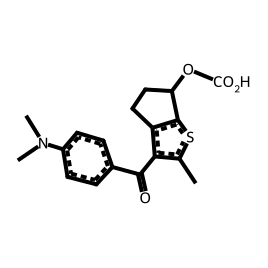 Cc1sc2c(c1C(=O)c1ccc(N(C)C)cc1)CCC2OC(=O)O